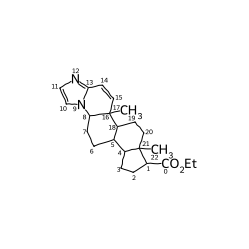 CCOC(=O)C1CCC2C3CCC4n5ccnc5C=CC4(C)C3CCC12C